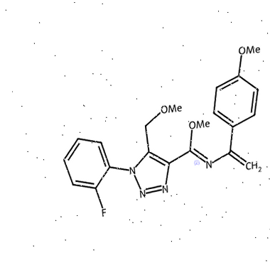 C=C(/N=C(\OC)c1nnn(-c2ccccc2F)c1COC)c1ccc(OC)cc1